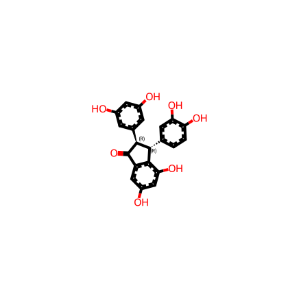 O=C1c2cc(O)cc(O)c2[C@@H](c2ccc(O)c(O)c2)[C@@H]1c1cc(O)cc(O)c1